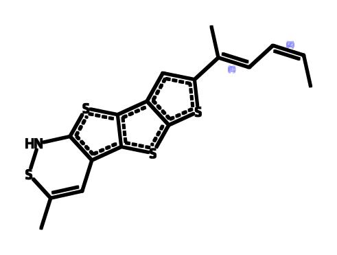 C/C=C\C=C(/C)c1cc2c(s1)sc1c3c(sc12)NSC(C)=C3